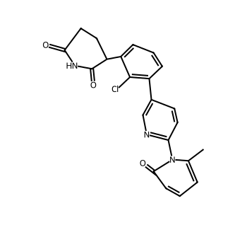 Cc1cccc(=O)n1-c1ccc(-c2cccc(C3CCC(=O)NC3=O)c2Cl)cn1